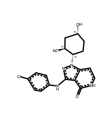 N#C[C@H]1C[C@H](O)CC[C@@H]1n1nc(Nc2ccc(Cl)cc2)c2c(=O)[nH]ccc21